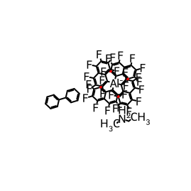 CC[NH2+]C.Fc1c(F)c(F)c2[c]([Al-]([c]3c(F)c(F)c(F)c4c(F)c(F)c(F)c(F)c34)([c]3c(F)c(F)c(F)c4c(F)c(F)c(F)c(F)c34)[c]3c(F)c(F)c(F)c4c(F)c(F)c(F)c(F)c34)c(F)c(F)c(F)c2c1F.c1ccc(-c2ccccc2)cc1